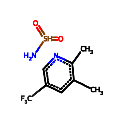 Cc1cc(C(F)(F)F)cnc1C.N[SH](=O)=O